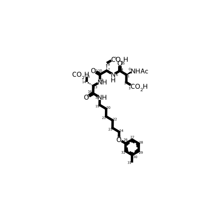 CC(=O)N[C@@H](CC(=O)O)C(=O)N[C@@H](CC(=O)O)C(=O)N[C@@H](CC(=O)O)C(=O)NCCCCCCOc1cccc(C)c1